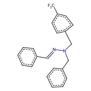 FC(F)(F)c1ccc(CN(Cc2ccccc2)N=Cc2ccccc2)cc1